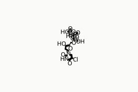 O=c1[nH]c(=O)n([C@H]2C[C@H](O)[C@@H](COP(=O)(O)OP(=O)(O)OP(=O)(O)O)O2)cc1Cl